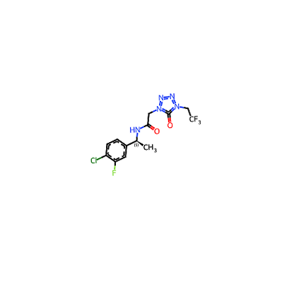 C[C@H](NC(=O)Cn1nnn(CC(F)(F)F)c1=O)c1ccc(Cl)c(F)c1